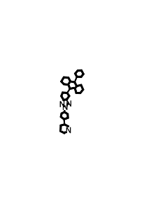 c1ccc(-c2c3ccccc3c(-c3ccc4nn(-c5ccc(-c6cccnc6)cc5)nc4c3)c3ccccc23)cc1